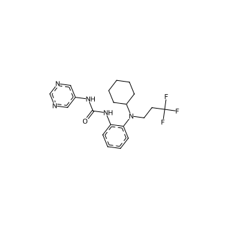 O=C(Nc1cncnc1)Nc1ccccc1N(CCC(F)(F)F)C1CCCCC1